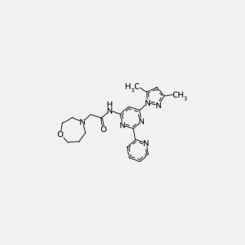 Cc1cc(C)n(-c2cc(NC(=O)CN3CCCOCC3)nc(-c3ccccn3)n2)n1